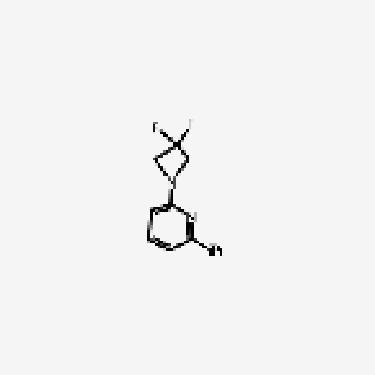 CC(C)c1cccc(N2CC(F)(F)C2)n1